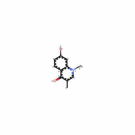 Cc1cn(C(C)C)c2cc(Br)ccc2c1=O